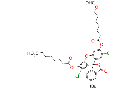 CC(C)(C)c1ccc2c(c1)C(=O)OC21c2cc(Cl)c(OC(=O)CCCCCCOC=O)cc2Oc2cc(OC(=O)CCCCCCC(=O)O)c(Cl)cc21